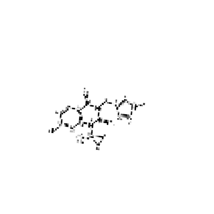 Cn1cc(Cn2c(=O)c3ccc(F)cc3n(C3(C#N)CC3)c2=O)cn1